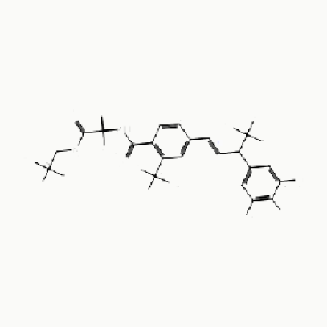 CC(C)(NC(=O)c1ccc(/C=C/C(c2cc(Cl)c(Cl)c(Cl)c2)C(F)(F)F)cc1C(F)(F)F)C(=O)NCC(F)(F)F